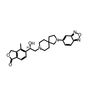 Cc1c([C@@H](O)CN2CCC3(CC2)CCN(c2ccc4nonc4c2)C3)ccc2c1COC2=O